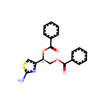 Nc1nc([C@H](COC(=O)c2ccccc2)OC(=O)c2ccccc2)cs1